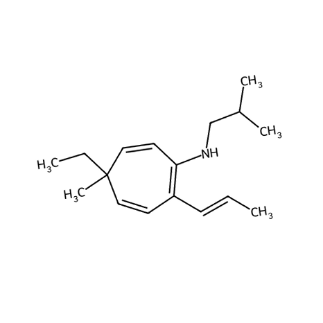 C/C=C/C1=C(NCC(C)C)C=CC(C)(CC)C=C1